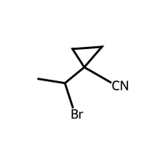 CC(Br)C1(C#N)CC1